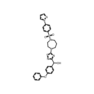 O=S(=O)(c1ccc(-n2cccn2)cc1)N1CCCN(c2nc(C(O)c3ccc(Oc4ccccc4)cc3)ns2)CC1